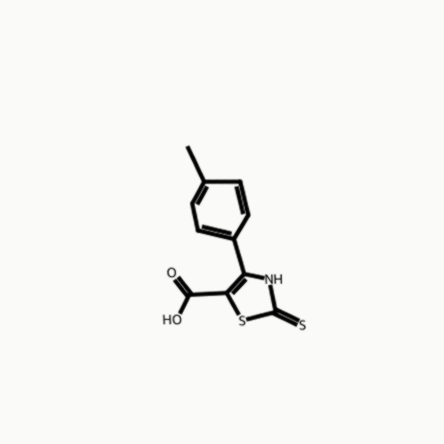 Cc1ccc(-c2[nH]c(=S)sc2C(=O)O)cc1